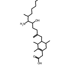 C=C(CCC(O)C(N)C(C)CCCCC)CC1C(C)CC(CC(=O)O)=C(C)C1C